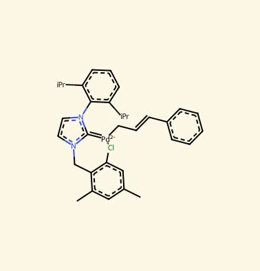 Cc1cc(C)c(Cn2ccn(-c3c(C(C)C)cccc3C(C)C)[c]2=[Pd-2]([Cl])[CH2]C=Cc2ccccc2)c(C)c1